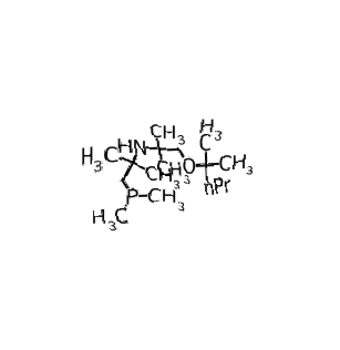 CCCC(C)(C)OCC(C)(C)NC(C)(C)CP(C)C